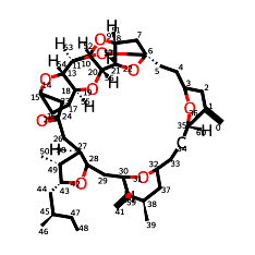 C=C1CC2CC[C@@]34C[C@H]5O[C@H]6[C@@H](O3)[C@H]3OC(CC[C@@H]3O[C@H]6[C@H]5O4)CC(=O)C[C@H]3C(C[C@H]4OC(CC[C@@H]1O2)C[C@@H](C)C4=C)O[C@H](C[C@H](C)CC)[C@@H]3C